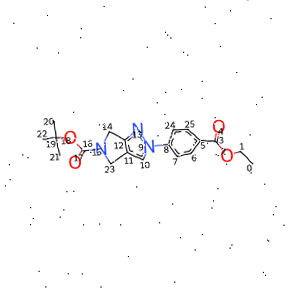 CCOC(=O)c1ccc(-n2cc3c(n2)CN(C(=O)OC(C)(C)C)C3)cc1